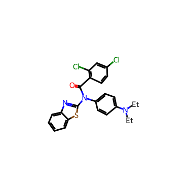 CCN(CC)c1ccc(N(C(=O)c2ccc(Cl)cc2Cl)c2nc3ccccc3s2)cc1